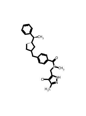 Cc1n[nH]c(CN(C)C(=O)c2ccc(CC3CC[C@H]([C@H](C)c4ccccc4)C3)cc2)c1Cl